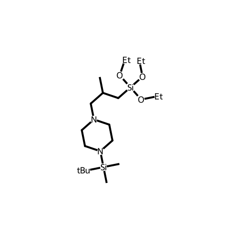 CCO[Si](CC(C)CN1CCN([Si](C)(C)C(C)(C)C)CC1)(OCC)OCC